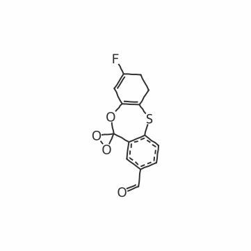 O=Cc1ccc2c(c1)C1(OO1)OC1=C(CCC(F)=C1)S2